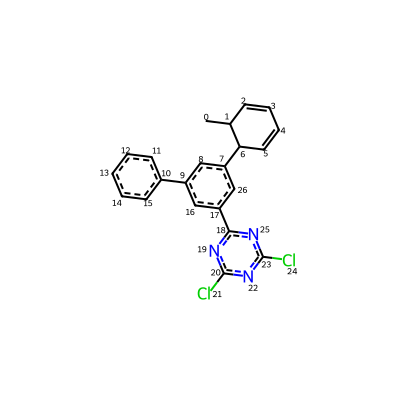 CC1C=CC=CC1c1cc(-c2ccccc2)cc(-c2nc(Cl)nc(Cl)n2)c1